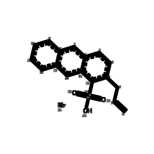 C=CCc1ccc2cc3ccccc3cc2c1S(=O)(=O)O.[Rb]